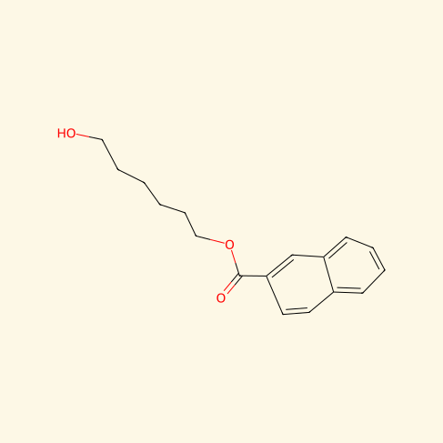 O=C(OCCCCCCO)c1ccc2ccccc2c1